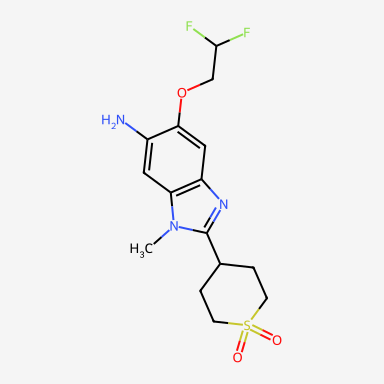 Cn1c(C2CCS(=O)(=O)CC2)nc2cc(OCC(F)F)c(N)cc21